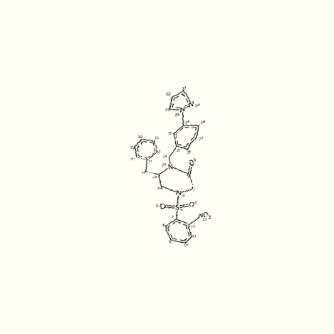 O=C1CN(S(=O)(=O)c2ccccc2[N+](=O)[O-])CC(Cc2ccccc2)N1Cc1cccc(-n2cccn2)c1